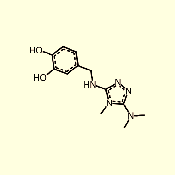 CN(C)c1nnc(NCc2ccc(O)c(O)c2)n1C